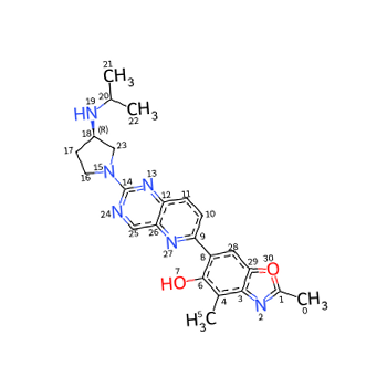 Cc1nc2c(C)c(O)c(-c3ccc4nc(N5CC[C@@H](NC(C)C)C5)ncc4n3)cc2o1